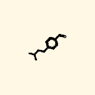 C[C](C)CCc1ccc(C=O)cc1